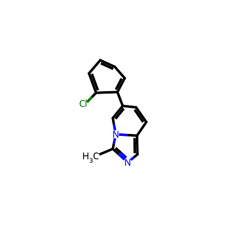 Cc1ncc2ccc(-c3ccccc3Cl)cn12